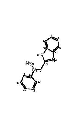 SN(Cc1nc2ccccc2s1)c1ccccc1